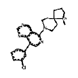 C[C@@H]1CCCC12CCN(c1ncc(-c3cccc(Cl)c3)c3ncncc13)CC2